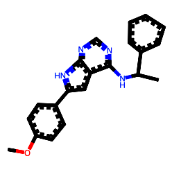 COc1ccc(-c2cc3c(NC(C)c4ccccc4)ncnc3[nH]2)cc1